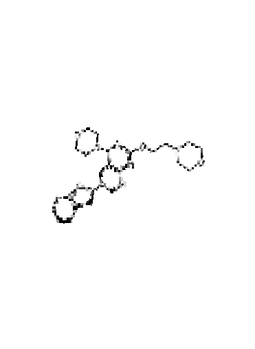 c1ccc2oc(-c3cnc4nc(OCCN5CCOCC5)nc(N5CCOCC5)c4c3)cc2c1